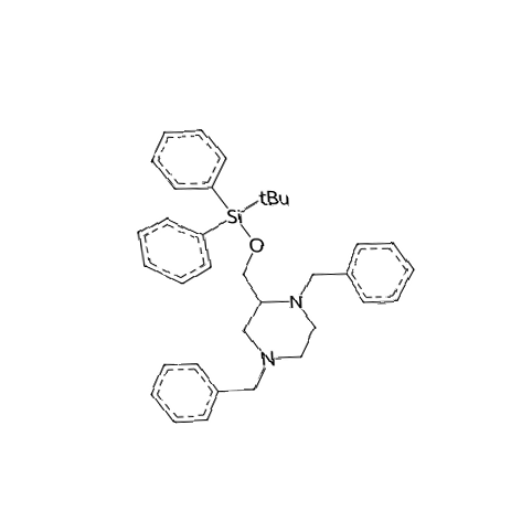 CC(C)(C)[Si](OCC1CN(Cc2ccccc2)CCN1Cc1ccccc1)(c1ccccc1)c1ccccc1